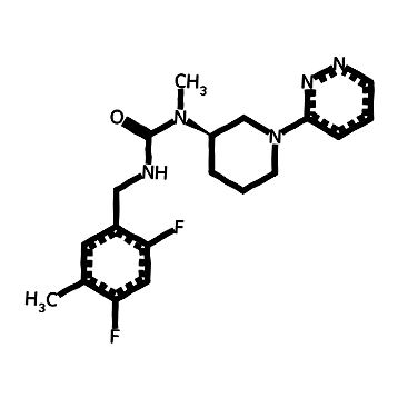 Cc1cc(CNC(=O)N(C)[C@@H]2CCCN(c3cccnn3)C2)c(F)cc1F